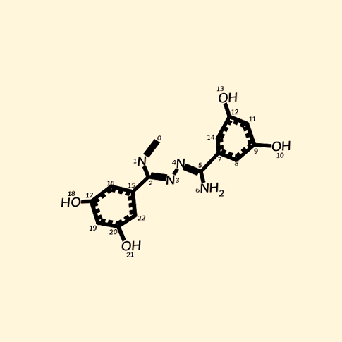 C=N/C(=N\N=C(/N)c1cc(O)cc(O)c1)c1cc(O)cc(O)c1